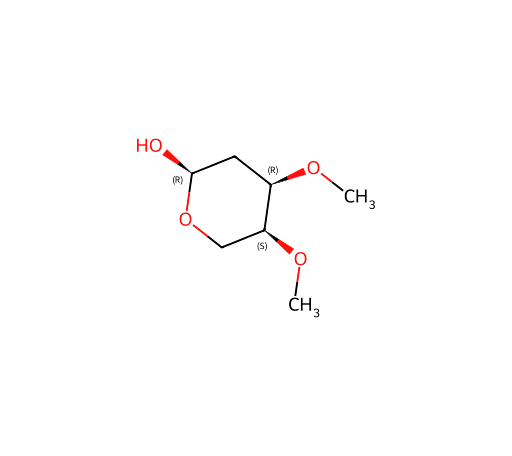 CO[C@H]1CO[C@@H](O)C[C@H]1OC